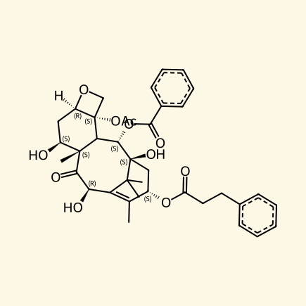 CC(=O)O[C@@]12CO[C@@H]1C[C@H](O)[C@@]1(C)C(=O)[C@H](O)C3=C(C)[C@@H](OC(=O)CCc4ccccc4)C[C@@](O)([C@@H](OC(=O)c4ccccc4)C12)C3(C)C